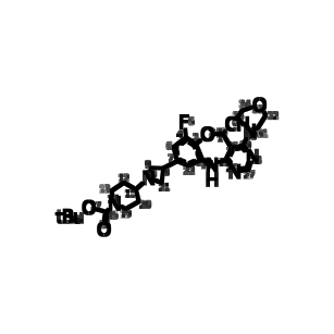 C[C@@H]1Oc2c(F)cc(C3CN(C4CCN(C(=O)OC(C)(C)C)CC4)C3)cc2Nc2ncnc(N3CCOCC3)c21